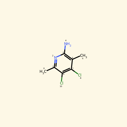 Cc1nc(N)c(C)c(Cl)c1Cl